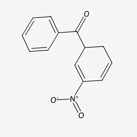 O=C(c1ccccc1)C1C=C([N+](=O)[O-])C=CC1